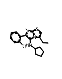 CCc1csc2nc(-c3ccccc3Cl)c(NC3CCCC3)n12